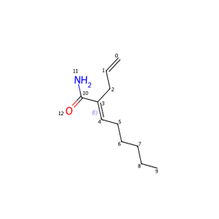 C=CC/C(=C\CCCCC)C(N)=O